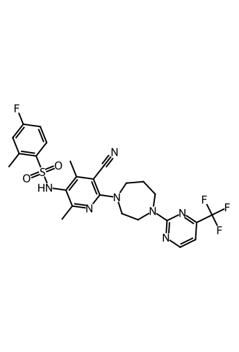 Cc1cc(F)ccc1S(=O)(=O)Nc1c(C)nc(N2CCCN(c3nccc(C(F)(F)F)n3)CC2)c(C#N)c1C